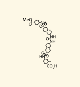 COC(=O)c1ccc(NS(=O)(=O)c2ccc3cc(NC(=O)Nc4ccc5cc(S(=O)(=O)Nc6ccc(C(=O)O)c(C)c6)ccc5c4)ccc3c2)cc1